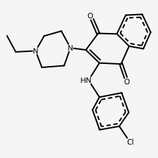 CCN1CCN(C2=C(Nc3ccc(Cl)cc3)C(=O)c3ccccc3C2=O)CC1